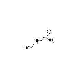 NC(CCNCCCO)C1CCC1